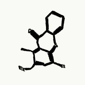 CCc1cc(CC)c2sc3ccccc3c(=O)c2c1C